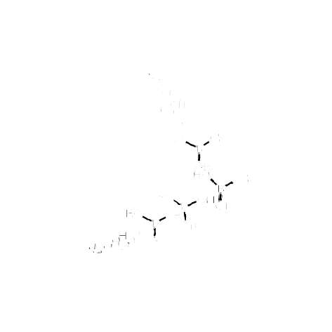 O.O.O.O.O.O.O.O.OB(O)O.OB(O)O.OB(O)O.OB(O)O.[NaH].[NaH]